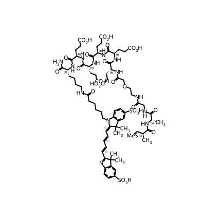 CSC[C@H](C)C(=O)N[C@@H](C)C(=O)NCC(=O)NCCOCC(=O)N[C@H](CCC(=O)O)C(=O)N[C@H](CCC(=O)O)C(=O)N[C@H](CCC(=O)O)C(=O)N[C@H](CCC(=O)O)C(=O)N[C@H](CCC(=O)O)C(=O)N[C@H](CCCCNC(=O)CCCCCN1/C(=C/C=C/C=C/C2=Nc3ccc(S(=O)(=O)O)cc3C2(C)C)C(C)(C)c2cc(S(=O)(=O)O)ccc21)C(N)=O